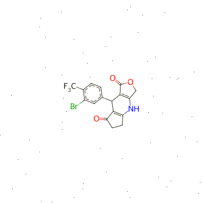 O=C1CCC2=C1C(c1ccc(C(F)(F)F)c(Br)c1)C1=C(COC1=O)N2